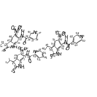 CCC1C(=S)Nc2cc(NC(=O)c3ccccn3)c([N+](=O)[O-])cc21.CCC1C(=S)Nc2cc(NC(=O)c3cccnc3)c([N+](=O)[O-])cc21.CCC1C(=S)Nc2cc(NC(=O)c3ccncc3)c([N+](=O)[O-])cc21